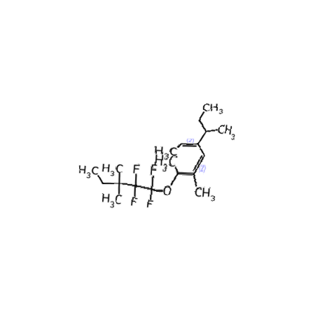 C/C=C(\C=C(\C)C(C)OC(F)(F)C(F)(F)C(C)(C)CC)C(C)CC